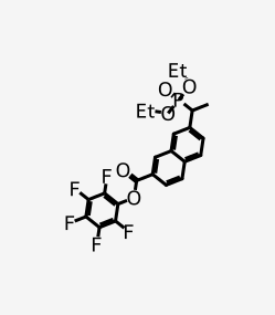 CCOP(=O)(OCC)C(C)c1ccc2ccc(C(=O)Oc3c(F)c(F)c(F)c(F)c3F)cc2c1